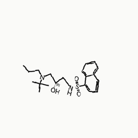 CCCN(C[C@@H](O)CNS(=O)(=O)c1cccc2ccccc12)C(C)(C)C